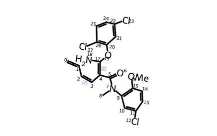 C=C/C=C\C(C(=O)N(C)c1cc(Cl)ccc1OC)=C(/N)Oc1cc(Cl)ccc1Cl